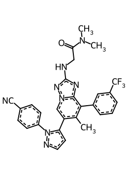 Cc1c(-c2ccnn2-c2ccc(C#N)cc2)cn2nc(NCC(=O)N(C)C)nc2c1-c1cccc(C(F)(F)F)c1